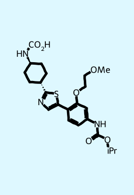 COCCOc1cc(NC(=O)OC(C)C)ccc1-c1cnc([C@H]2CC[C@H](NC(=O)O)CC2)s1